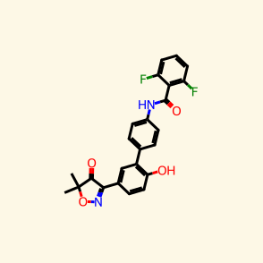 CC1(C)ON=C(c2ccc(O)c(-c3ccc(NC(=O)c4c(F)cccc4F)cc3)c2)C1=O